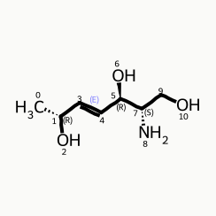 C[C@@H](O)/C=C/[C@@H](O)[C@@H](N)CO